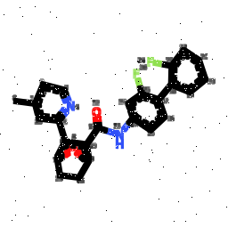 Cc1ccnc(-c2c3oc(c2C(=O)Nc2ccc(-c4ccccc4F)c(F)c2)CC3)c1